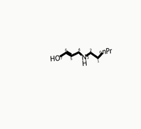 CCCCCNCC=CO